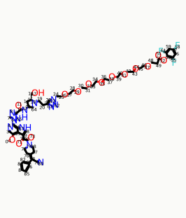 COc1cnc(-n2cnc(C(=O)N[C@H]3C[C@@H](CO)N(CCc4cn(CCOCCOCCOCCOCCOCCOCCOCCOCCC(=O)Oc5c(F)cc(F)cc5F)nn4)C3)n2)c2[nH]cc(C(=O)C(=O)N3CCC(=C(C#N)c4ccccc4)CC3)c12